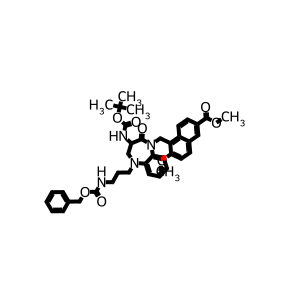 COC(=O)c1ccc2c(CN3C(=O)C(NC(=O)OC(C)(C)C)CN(CCCNC(=O)OCc4ccccc4)c4ccccc43)c(OC)ccc2c1